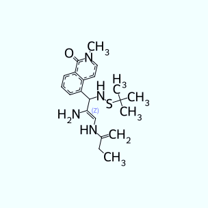 C=C(CC)N/C=C(\N)C(NSC(C)(C)C)c1cccc2c(=O)n(C)ccc12